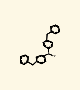 [O-][S+](c1ccc(Cc2ccccc2)cc1)c1ccc(Cc2ccccc2)cc1